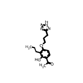 CCCc1c(OCCCc2nn[nH]n2)ccc(C(C)=O)c1O